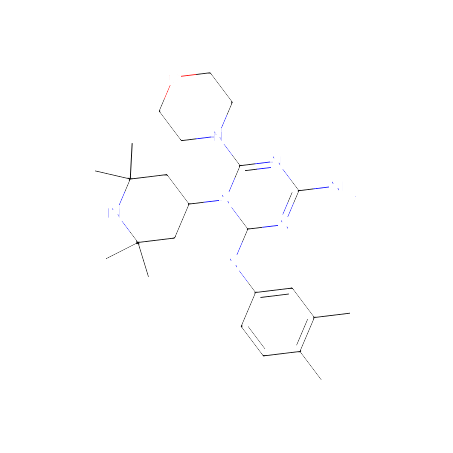 Cc1ccc(NC2N=C(N)N=C(N3CCOCC3)N2C2CC(C)(C)NC(C)(C)C2)cc1C